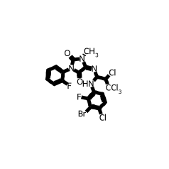 CN1C(=O)N(c2ccccc2F)C(=O)/C1=N\C(Nc1ccc(Cl)c(Br)c1F)C(Cl)C(Cl)(Cl)Cl